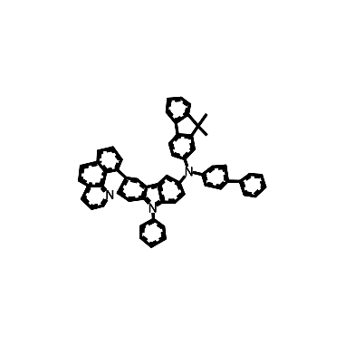 CC1(C)c2ccccc2-c2ccc(N(c3ccc(-c4ccccc4)cc3)c3ccc4c(c3)c3cc(-c5cccc6ccc7cccnc7c56)ccc3n4-c3ccccc3)cc21